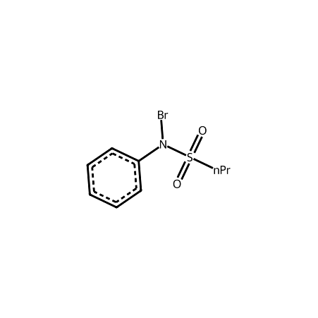 CCCS(=O)(=O)N(Br)c1ccccc1